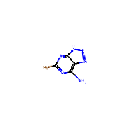 Nc1nc(S)nc2[nH]nnc12